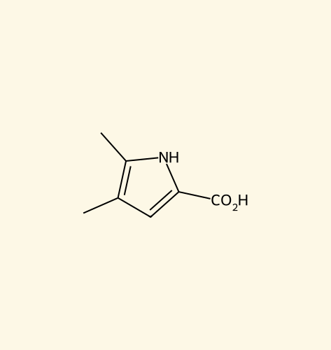 Cc1cc(C(=O)O)[nH]c1C